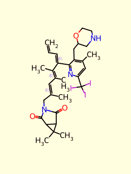 C=C\C=C(/C(C)=C(C)/C=C(\C)CN1C(=O)C2C(C1=O)C2(C)C)c1nc(C(I)(I)I)cc(C)c1CC1CNCCO1